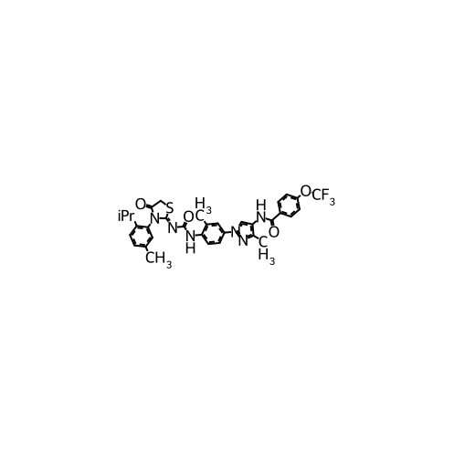 Cc1ccc(C(C)C)c(N2C(=O)CS/C2=N\C(=O)Nc2ccc(-n3cc(NC(=O)c4ccc(OC(F)(F)F)cc4)c(C)n3)cc2C)c1